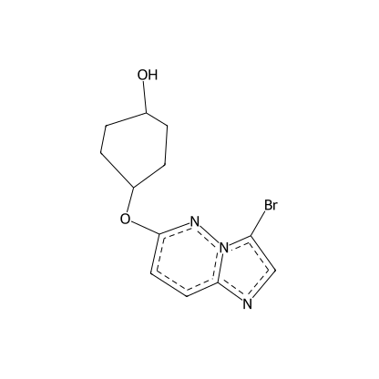 OC1CCC(Oc2ccc3ncc(Br)n3n2)CC1